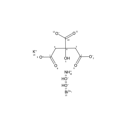 O=C([O-])CC(O)(CC(=O)[O-])C(=O)[O-].[Bi+3].[K+].[NH4+].[OH-].[OH-]